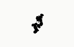 CC1(C)c2ccccc2C2C=C3C(=CC21)c1c(-c2cccc(-c4cccc(C5N=C(c6ccccc6)N=C(c6ccccc6)N5)c4)c2)cccc1C31CCCCC1